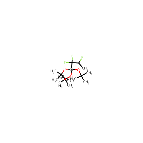 CC(F)C(F)(F)[Si](OC(C)(C)C)(OC(C)(C)C)OC(C)(C)C